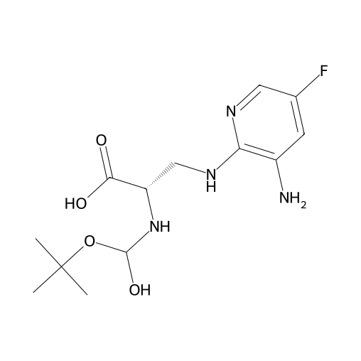 CC(C)(C)OC(O)N[C@@H](CNc1ncc(F)cc1N)C(=O)O